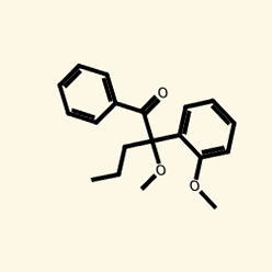 CCCC(OC)(C(=O)c1ccccc1)c1ccccc1OC